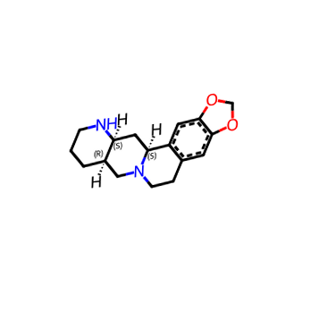 c1c2c(cc3c1OCO3)[C@@H]1C[C@@H]3NCCC[C@@H]3CN1CC2